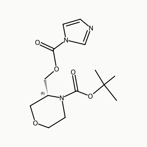 CC(C)(C)OC(=O)N1CCOC[C@@H]1COC(=O)n1ccnc1